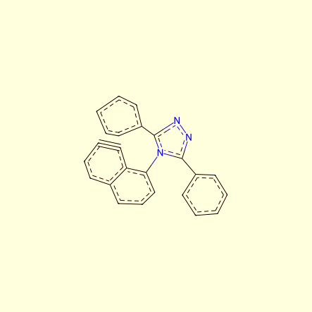 c1ccc2cccc(-n3c(-c4ccccc4)nnc3-c3ccccc3)c2c#1